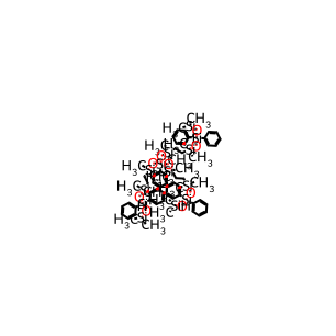 C[SiH](C)O[Si](O[Si](C)(C)CC[Si](C)(C)O[Si](O[Si](C)(C)CC[Si](C)(C)O[Si](O[SiH](C)C)(c1ccccc1)c1ccccc1)(O[Si](C)(C)CC[Si](C)(C)O[Si](O[SiH](C)C)(c1ccccc1)c1ccccc1)c1ccccc1)(c1ccccc1)c1ccccc1